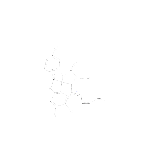 C=C/C=C\C=C(/C)C1=C(O)C(=O)N(c2cccc(Cl)c2)C12C(=O)Nc1cc(Cl)c(Cl)cc12